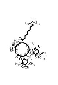 CC[C@H]1OC(=O)[C@H](C)C([C@H]2C[C@@](C)(OC)[C@@H](O)[C@H](C)O2)[C@H](C)[C@@H](O[C@@H]2O[C@H](C)C[C@H](N(C)C)[C@H]2O)[C@](C)(O)C[C@@H](C)CN(C(=O)CCCCCCC[PH](C)(C)C)[C@H](C)[C@@H](O)[C@]1(C)O